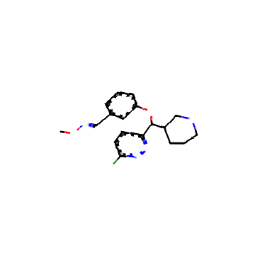 CON=Cc1cccc(OC(c2ccc(Cl)nn2)C2CCCNC2)c1